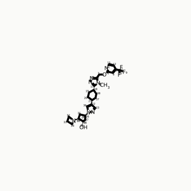 Cn1c(COc2cc(C(F)(F)F)ccn2)nnc1[C@H]1CC[C@H](c2cnn([C@H]3C[C@H](O)[C@@H](N4CCC4)C3)c2)CC1